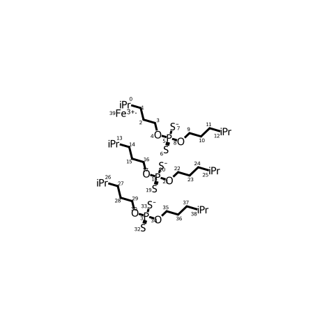 CC(C)CCCOP(=S)([S-])OCCCC(C)C.CC(C)CCCOP(=S)([S-])OCCCC(C)C.CC(C)CCCOP(=S)([S-])OCCCC(C)C.[Fe+3]